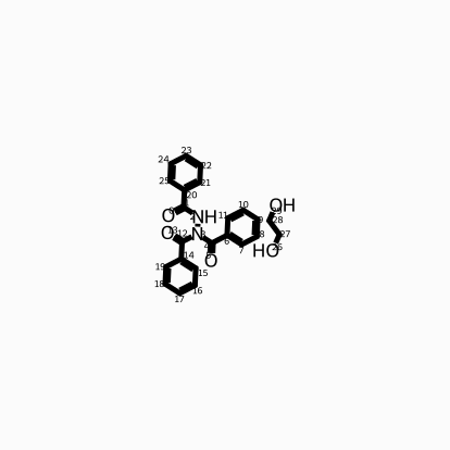 O=C(NN(C(=O)c1ccccc1)C(=O)c1ccccc1)c1ccccc1.OCCO